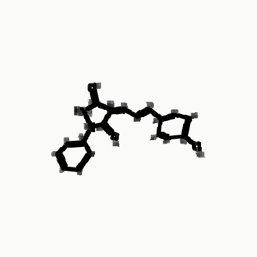 O=C1NN(c2ccccc2)C(=O)C1=CC=Cc1ccc(Cl)cc1